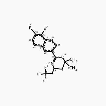 CC1(C)CC(CC(F)(F)F)N=C(c2cnc3c(F)c(F)ccc3c2)O1